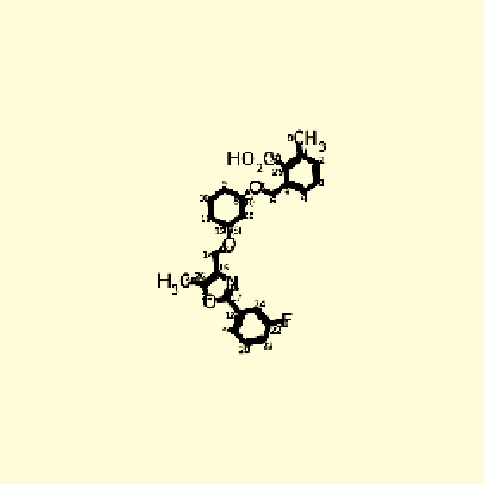 Cc1cccc(CO[C@@H]2CCC[C@H](OCc3nc(-c4cccc(F)c4)oc3C)C2)c1C(=O)O